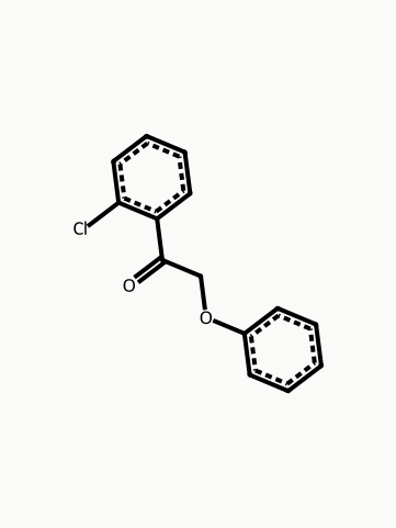 O=C(COc1ccccc1)c1ccccc1Cl